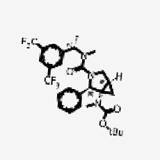 C[C@@H](c1cc(C(F)(F)F)cc(C(F)(F)F)c1)N(C)C(=O)N1C[C@H]2C[C@@]2(N(C)C(=O)OC(C)(C)C)[C@H]1c1ccccc1